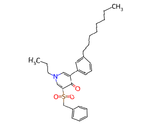 CCCCCCCCc1cccc(-c2cn(CCC)cc(S(=O)(=O)Cc3ccccc3)c2=O)c1